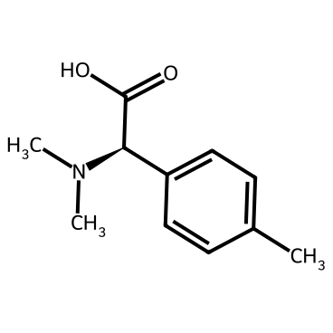 Cc1ccc([C@H](C(=O)O)N(C)C)cc1